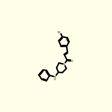 O=C(/C=C/c1ccc(Br)cc1)N1CCC(Nc2ccccc2)CC1